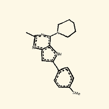 CSc1ccc(-c2cc3nc(C)nc(N4CCCCC4)c3[nH]2)cc1